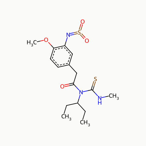 CCC(CC)N(C(=O)Cc1ccc(OC)c(N=S(=O)=O)c1)C(=S)NC